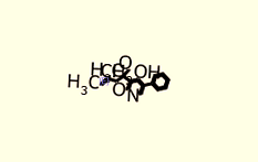 C/C=C(\C)C1Oc2ncc(-c3ccccc3)c(O)c2C1(C)C=O